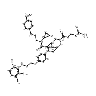 COc1ccc(OCCN(C(=O)C2=C(c3ccc(CCCOc4c(F)ccc(F)c4F)cc3)CC3CN(C(=O)CCCC(N)=O)CC2N3)C2CC2)cc1